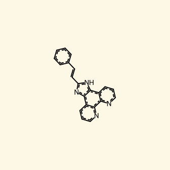 C(=Cc1nc2c3cccnc3c3ncccc3c2[nH]1)c1ccccc1